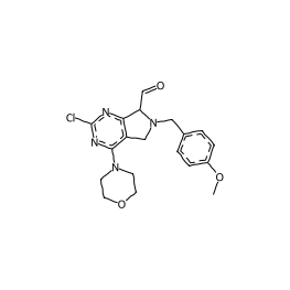 COc1ccc(CN2Cc3c(nc(Cl)nc3N3CCOCC3)C2C=O)cc1